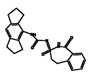 O=C(N=S1(=O)CCc2ccccc2C(=O)N1)Nc1c2c(cc3c1CCC3)CCC2